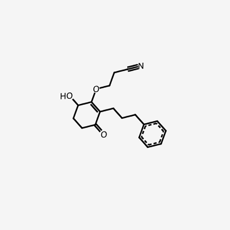 N#CCCOC1=C(CCCc2ccccc2)C(=O)CCC1O